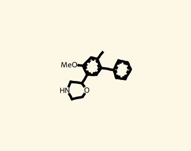 COc1cc(C)c(-c2ccccc2)cc1C1CNCCO1